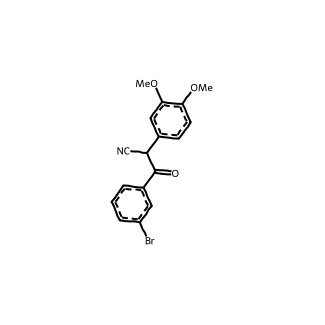 COc1ccc(C(C#N)C(=O)c2cccc(Br)c2)cc1OC